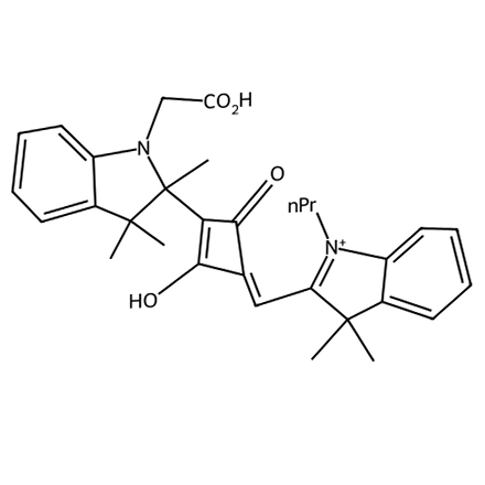 CCC[N+]1=C(C=C2C(=O)C(C3(C)N(CC(=O)O)c4ccccc4C3(C)C)=C2O)C(C)(C)c2ccccc21